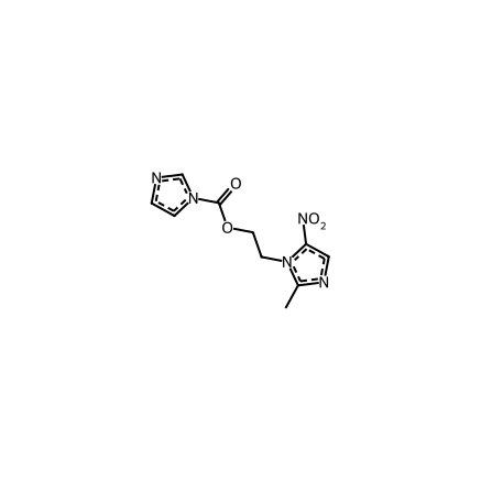 Cc1ncc([N+](=O)[O-])n1CCOC(=O)n1ccnc1